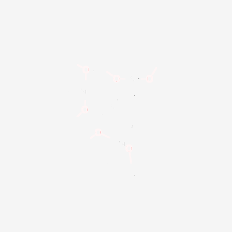 CO[Si](C)(C[Si](C)(C[Si](C)(OC)OC)C[Si](C)(OC)OC)OC